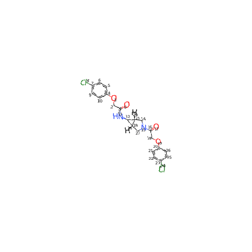 O=C(COc1ccc(Cl)cc1)N[C@H]1[C@@H]2CN(C(=O)COc3ccc(Cl)cc3)C[C@@H]21